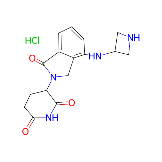 Cl.O=C1CCC(N2Cc3c(NC4CNC4)cccc3C2=O)C(=O)N1